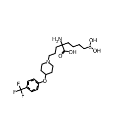 NC(CCCCB(O)O)(CCCN1CCC(Oc2ccc(C(F)(F)F)cc2)CC1)C(=O)O